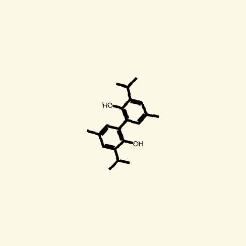 Cc1cc(-c2cc(C)cc(C(C)C)c2O)c(O)c(C(C)C)c1